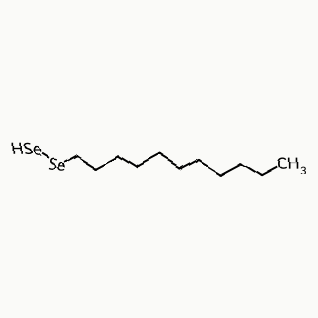 CCCCCCCCCCC[Se][SeH]